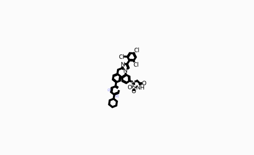 C=C(/C=C\C(=C/C)C1CCCCC1)c1ccc(Cc2nc(-c3c(Cl)cc(Cl)cc3Cl)cn2-c2cccc(N3CC(=O)NS3(=O)=O)c2)cc1